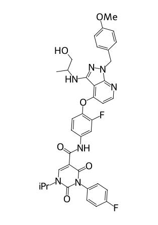 COc1ccc(Cn2nc(NC(C)CO)c3c(Oc4ccc(NC(=O)c5cn(C(C)C)c(=O)n(-c6ccc(F)cc6)c5=O)cc4F)ccnc32)cc1